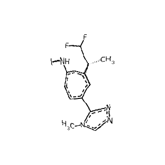 C[C@H](c1cc(-c2nncn2C)ccc1NI)C(F)F